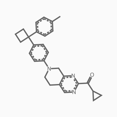 Cc1ccc(C2(c3ccc(N4CCc5cnc(C(=O)C6CC6)nc5C4)cc3)CCC2)cc1